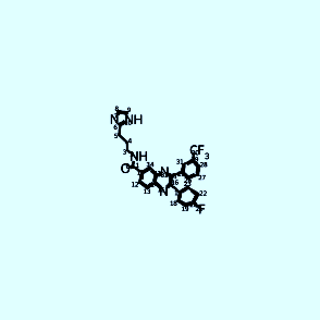 O=C(NCCCc1ncc[nH]1)c1ccc2nc(-c3ccc(F)cc3)c(-c3cccc(C(F)(F)F)c3)nc2c1